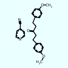 COc1ccc(CCC(=O)CCc2ccc(OC)cc2)cc1.N#Cc1ccncc1